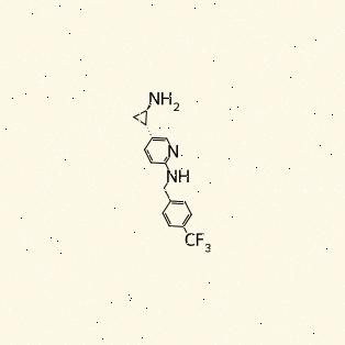 N[C@@H]1C[C@H]1c1ccc(NCc2ccc(C(F)(F)F)cc2)nc1